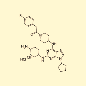 Cl.Cl.NC1CCC(Nc2nc(NC3CCN(C(=O)Cc4ccc(F)cc4)CC3)c3ncn(C4CCCC4)c3n2)CC1